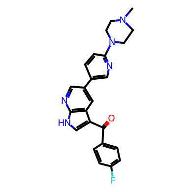 CN1CCN(c2ccc(-c3cnc4[nH]cc(C(=O)c5ccc(F)cc5)c4c3)cn2)CC1